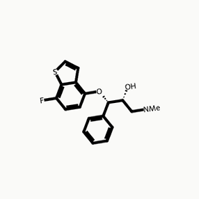 CNC[C@@H](O)[C@@H](Oc1ccc(F)c2sccc12)c1ccccc1